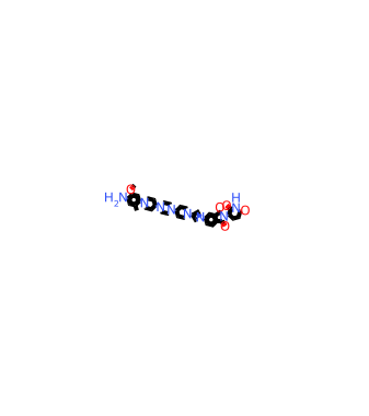 COc1cc(N2CCC(N3CCN(C4CCN(C5CN(c6ccc7c(c6)C(=O)N(C6CCC(=O)NC6=O)C7=O)C5)CC4)CC3)CC2)c(C)cc1N